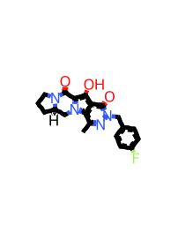 Cc1nn(Cc2ccc(F)cc2)c(=O)c2c(O)c3n(c12)C[C@H]1CCCN1C3=O